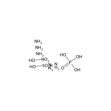 N.N.N.N.N.O=P(O)(O)O.O=S(=O)(O)O.O=[N+]([O-])O